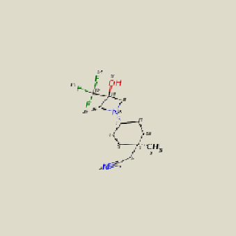 C[C@]1(CC#N)CC[C@H](N2CC(O)(C(F)(F)F)C2)CC1